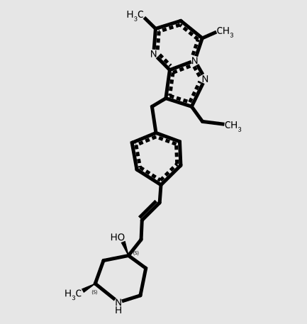 CCc1nn2c(C)cc(C)nc2c1Cc1ccc(C=CC[C@]2(O)CCN[C@@H](C)C2)cc1